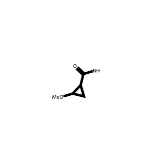 COC1CC1C([NH])=O